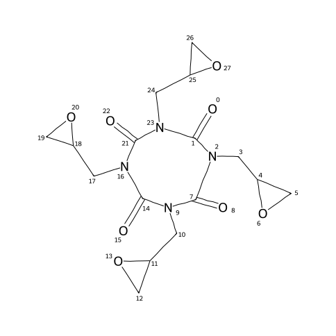 O=C1N(CC2CO2)C(=O)N(CC2CO2)C(=O)N(CC2CO2)C(=O)N1CC1CO1